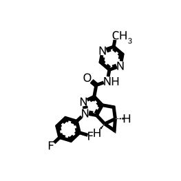 Cc1cnc(NC(=O)c2nn(-c3ccc(F)cc3F)c3c2C[C@H]2C[C@@H]32)cn1